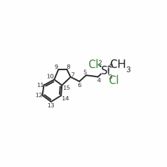 C[Si](Cl)(Cl)CCCC1CCc2ccccc21